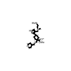 CNCCN(C)Cc1c[nH]nc1C1CCC(COC)(COCC2CCOCC2)CC1.Cl